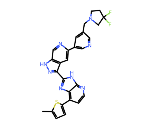 Cc1ccc(-c2ccnc3[nH]c(-c4n[nH]c5cnc(-c6cncc(CN7CCC(F)(F)C7)c6)cc45)nc23)s1